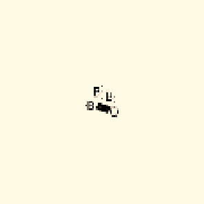 [B].[B].[O]=[Bi]